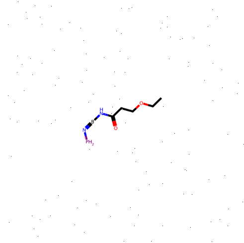 CCOCCC(=O)N/B=N/P